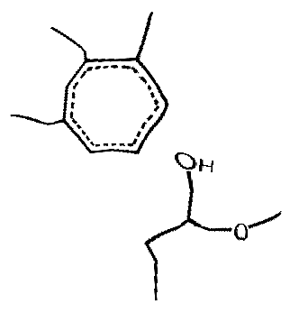 CCC(O)OC.Cc1cccc(C)c1C